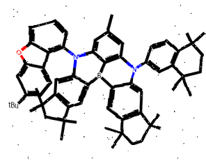 Cc1cc2c3c(c1)N(c1cccc4oc5cc(C(C)(C)C)ccc5c14)c1cc4c(cc1B3c1cc3c(cc1N2c1ccc2c(c1)C(C)(C)CCC2(C)C)C(C)(C)CCC3(C)C)C(C)(C)CC4(C)C